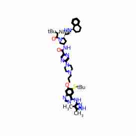 CN[C@H](C(=O)N1C[C@@H](NC(=O)c2cnc(N3CCN(CCCOc4cc5ncnc(Nc6n[nH]c(C)c6C)c5cc4SC(C)(C)C)CC3)cn2)C[C@H]1CCN[C@@H]1CCCc2ccccc21)C(C)(C)C